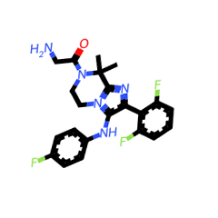 CC1(C)c2nc(-c3c(F)cccc3F)c(Nc3ccc(F)cc3)n2CCN1C(=O)CN